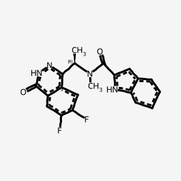 C[C@H](c1n[nH]c(=O)c2cc(F)c(F)cc12)N(C)C(=O)c1cc2ccccc2[nH]1